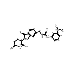 O=C1CCC(N2Cc3cc(CNC(=O)Nc4cccc([N+](=O)[O-])c4)ccc3C2=O)C(=O)N1